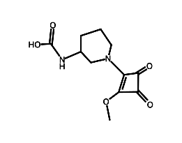 COc1c(N2CCCC(NC(=O)O)C2)c(=O)c1=O